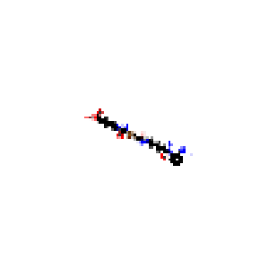 Nc1ccccc1NC(=O)CCCCCNC(=O)CSSCC(=O)NCCCCCC(=O)O